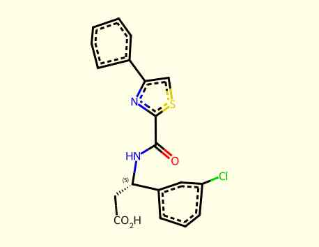 O=C(O)C[C@H](NC(=O)c1nc(-c2ccccc2)cs1)c1cccc(Cl)c1